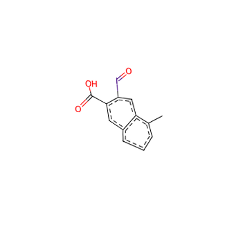 Cc1cccc2cc(C(=O)O)c(I=O)cc12